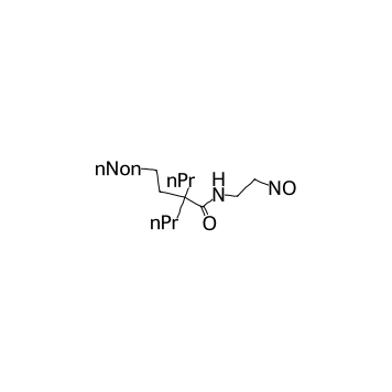 CCCCCCCCCCCC(CCC)(CCC)C(=O)NCCN=O